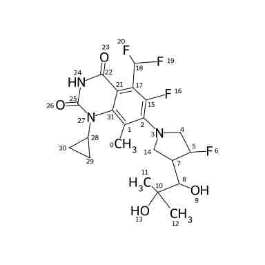 Cc1c(N2CC(F)C(C(O)C(C)(C)O)C2)c(F)c(C(F)F)c2c(=O)[nH]c(=O)n(C3CC3)c12